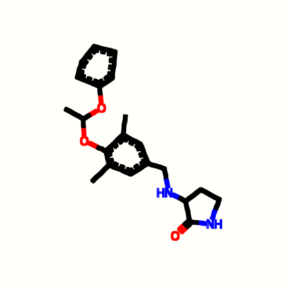 Cc1cc(CNC2CCNC2=O)cc(C)c1OC(C)Oc1ccccc1